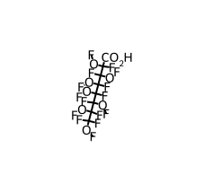 O=C(O)C(F)(OF)C(F)(OF)C(F)(OF)C(F)(OF)C(F)(OF)C(F)(OF)C(F)(F)OF